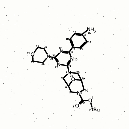 CC(C)(C)OC(=O)N1CC2CN(c3nc(-c4ccc(N)cc4)nc(N4CCOCC4)n3)CC(C1)O2